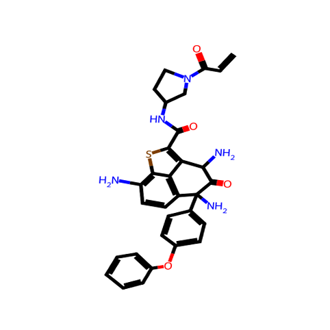 C=CC(=O)N1CCC(NC(=O)c2sc3c(N)ccc4c3c2C(N)C(=O)C4(N)c2ccc(Oc3ccccc3)cc2)C1